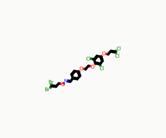 ClC(Cl)=CCOc1cc(Cl)c(OCCOc2ccc(/C=N/OCC=C(Br)Br)cc2)c(Cl)c1